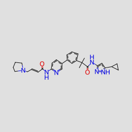 CC(C)(C(=O)Nc1cc(C2CC2)[nH]n1)c1cccc(-c2ccc(NC(=O)/C=C/CN3CCCC3)nc2)c1